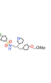 COCOc1ccc(CC(CCNS(=O)(=O)c2ccc(Cl)cc2)c2cccnc2)cc1